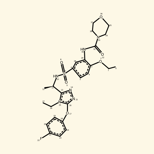 CCOc1ccc(S(=O)(=O)N[C@H](C)c2nnc(Oc3ccc(F)cc3)n2CC)cc1NC(=O)N1CCOCC1